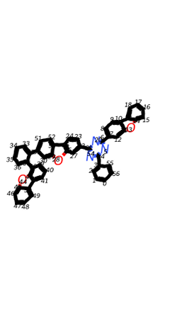 c1ccc(-c2nc(-c3ccc4c(c3)oc3ccccc34)nc(-c3ccc4c(c3)oc3cc(-c5ccccc5-c5cccc6c5oc5ccccc56)ccc34)n2)cc1